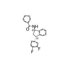 O=C(N[C@@H]1C[C@@H](c2ccc(F)c(F)c2)c2ccccc21)c1ccccc1